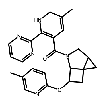 CC1=CC(C(=O)N2CC3CC34CC(Oc3ccc(C)cn3)C24)=C(c2ncccn2)NC1